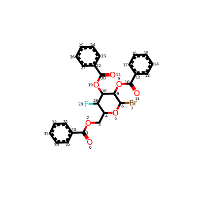 O=C(OCC1OC(Br)C(OC(=O)c2ccccc2)C(OC(=O)c2ccccc2)C1F)c1ccccc1